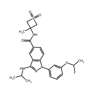 CC(C)Nc1nn(-c2cccc(OC(C)F)c2)c2ccc(C(=O)NC3(C)CS(=O)(=O)C3)cc12